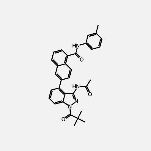 CC(=O)Nc1nn(C(=O)C(C)(C)C)c2cccc(-c3ccc4c(C(=O)Nc5cccc(C)c5)cccc4c3)c12